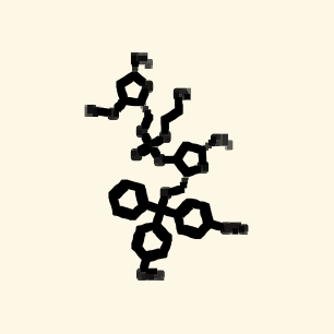 B[C@H]1CC(OC(C)C)[C@@H](COP(=O)(OCCC#N)OC2C[C@H](C)O[C@@H]2COC(c2ccccc2)(c2ccc(OC)cc2)c2ccc(OC)cc2)O1